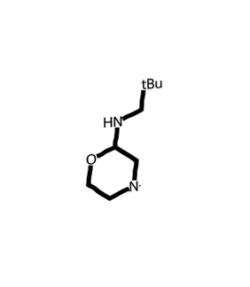 CC(C)(C)CNC1C[N]CCO1